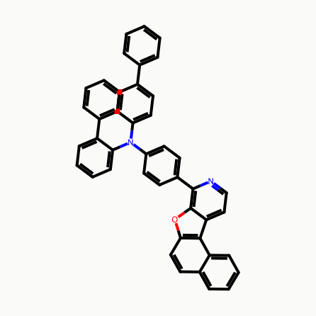 c1ccc(-c2ccc(N(c3ccc(-c4nccc5c4oc4ccc6ccccc6c45)cc3)c3ccccc3-c3ccccc3)cc2)cc1